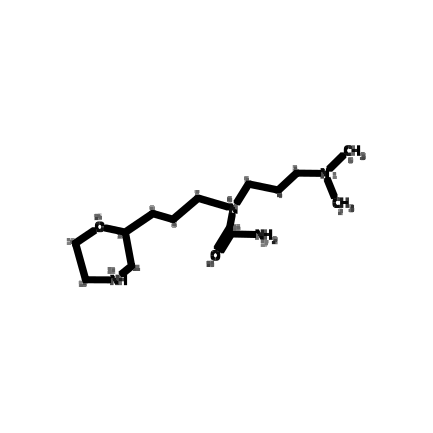 CN(C)CCCN(CCCC1CNCCO1)C(N)=O